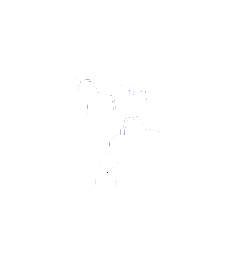 Cc1noc(C)c1C1=C/c2c(c(I)cn2CC2CC(F)(F)C2)CC\N=C\1